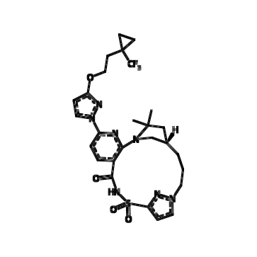 CC1(C)C[C@@H]2CCCn3ccc(n3)S(=O)(=O)NC(=O)c3ccc(-n4ccc(OCCC5(C(F)(F)F)CC5)n4)nc3N1C2